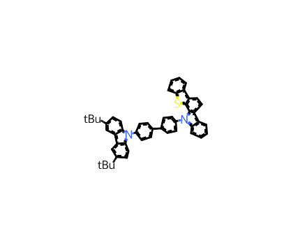 CC(C)(C)c1ccc2c(c1)c1cc(C(C)(C)C)ccc1n2-c1ccc(-c2ccc(-n3c4ccccc4c4ccc5c6ccccc6sc5c43)cc2)cc1